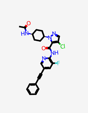 CC(=O)N[C@H]1CC[C@@H](n2ncc(Cl)c2C(=O)Nc2ncc(C#Cc3ccccc3)cc2F)CC1